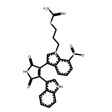 N=C(N)SCCCn1cc(C2=C(c3c[nH]c4ccccc34)C(=O)NC2=O)c2cccc([N+](=O)[O-])c21